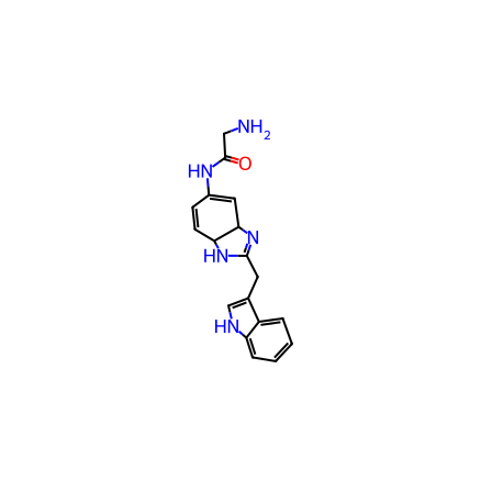 NCC(=O)NC1=CC2N=C(Cc3c[nH]c4ccccc34)NC2C=C1